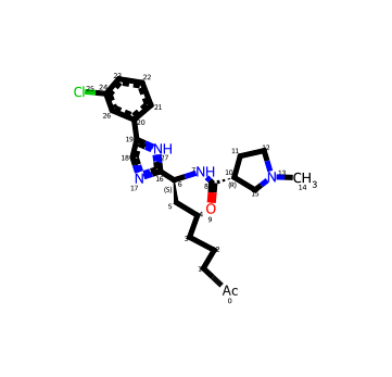 CC(=O)CCCCC[C@H](NC(=O)[C@@H]1CCN(C)C1)c1ncc(-c2cccc(Cl)c2)[nH]1